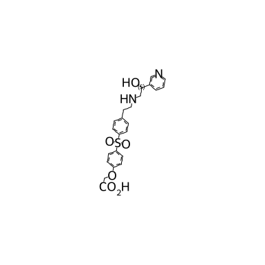 O=C(O)COc1ccc(S(=O)(=O)c2ccc(CCNC[C@@H](O)c3cccnc3)cc2)cc1